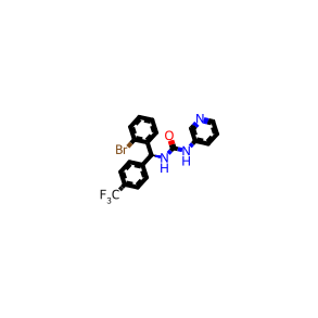 O=C(Nc1cccnc1)N[C@@H](c1ccc(C(F)(F)F)cc1)c1ccccc1Br